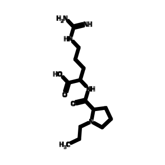 CCCN1CCCC1C(=O)NC(CCCNC(=N)N)C(=O)O